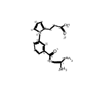 NC(N)=NC(=O)c1cccc(-n2cccc2CCC(=O)O)c1